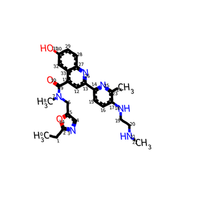 CCc1ncc(CN(C)C(=O)c2cc(-c3ccc(NCCNC)c(C)n3)nc3ccc(O)cc23)o1